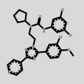 COc1ccc(-c2nc(-c3ccncc3)nn2CCN(C(=O)Nc2cc(Cl)cc(Cl)c2)C2CCCC2)cc1Cl